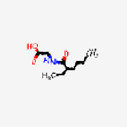 CCCCC(CC)C(=O)NCC(=O)O